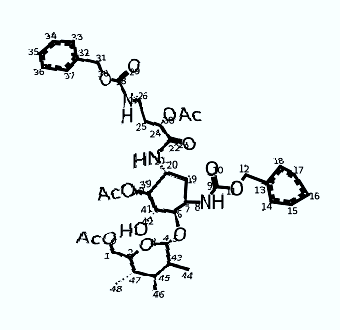 CC(=O)OCC1O[C@H](O[C@@H]2C(NC(=O)OCc3ccccc3)C[C@@H](NC(=O)[C@H](CCNC(=O)OCc3ccccc3)OC(C)=O)C(OC(C)=O)[C@H]2O)C(C)[C@@H](C)[C@@H]1C